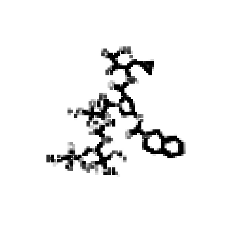 CN(C[C@@H](NC(=O)N[C@H](C(=O)N1CC(OC(=O)N2CCc3ccccc3C2)CC1C(=O)NC(CC1CC1)C(=O)C(N)=O)C(C)(C)C)C(C)(C)C)S(C)(=O)=O